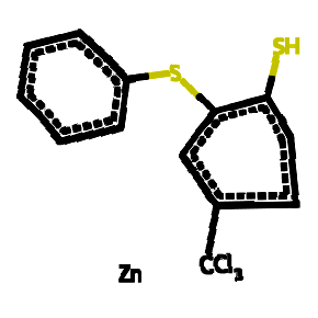 Sc1ccc(C(Cl)(Cl)Cl)cc1Sc1ccccc1.[Zn]